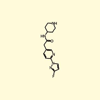 O=C(Cc1ccc(-n2ccc(F)n2)nc1)NC1CCNCC1